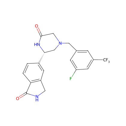 O=C1CN(Cc2cc(F)cc(C(F)(F)F)c2)C[C@H](c2ccc3c(c2)CNC3=O)N1